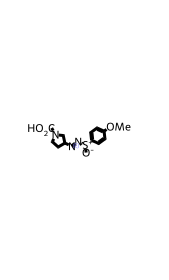 COc1ccc([S+]([O-])/N=N/C2CCN(C(=O)O)C2)cc1